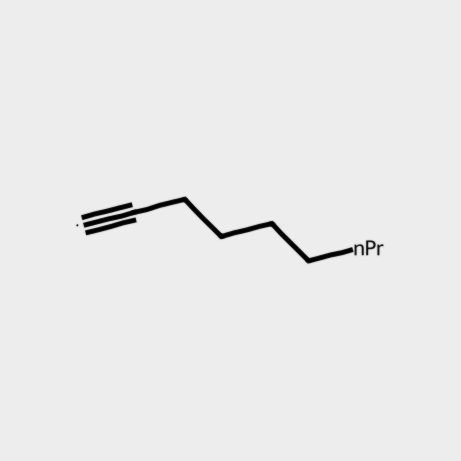 [C]#CCCCCCCC